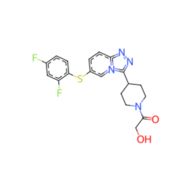 O=C(CO)N1CCC(c2nnc3ccc(Sc4ccc(F)cc4F)cn23)CC1